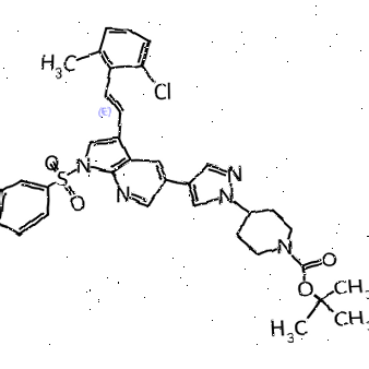 Cc1cccc(Cl)c1/C=C/c1cn(S(=O)(=O)c2ccccc2)c2ncc(-c3cnn(C4CCN(C(=O)OC(C)(C)C)CC4)c3)cc12